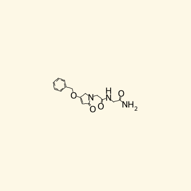 NC(=O)CNC(=O)CN1CC(OCc2ccccc2)=CC1=O